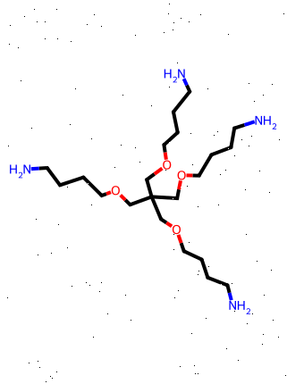 NCCCCOCC(COCCCCN)(COCCCCN)COCCCCN